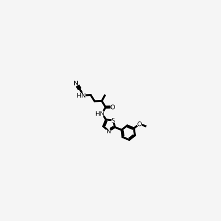 COc1cccc(-c2ncc(NC(=O)C(C)CCNC#N)s2)c1